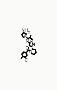 Cc1ccc(C(=O)N2CCCC[C@H]2c2cc3nc(N4CC[C@H](N)C4)c(C)cn3n2)cc1Cl